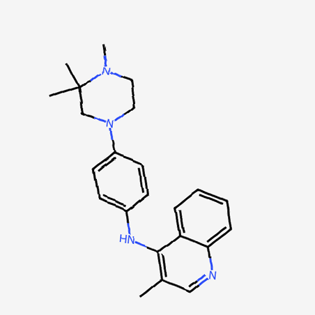 Cc1cnc2ccccc2c1Nc1ccc(N2CCN(C)C(C)(C)C2)cc1